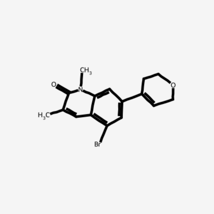 Cc1cc2c(Br)cc(C3=CCOCC3)cc2n(C)c1=O